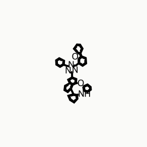 c1ccc(-c2nc(-c3cc4c5c(cccc5c3)-c3ccccc3Nc3ccccc3O4)nc(-c3cccc4c3oc3ccccc34)n2)cc1